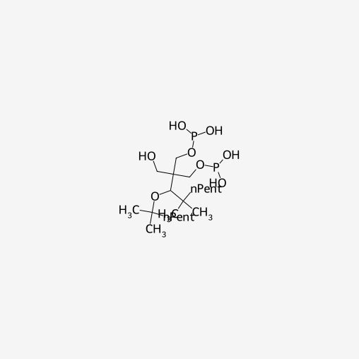 CCCCCC(C)(C)OC(C(C)(C)CCCCC)C(CO)(COP(O)O)COP(O)O